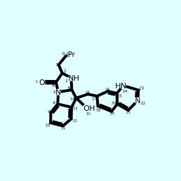 CC(C)CC1NC2N(C1=O)c1ccccc1C2(O)CC1C=CC2=CN=CNC2=C1